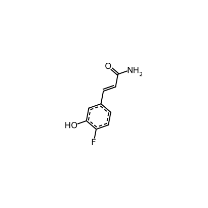 NC(=O)/C=C/c1ccc(F)c(O)c1